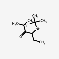 CCC(NC(C)(C)C)C(=O)C(C)C